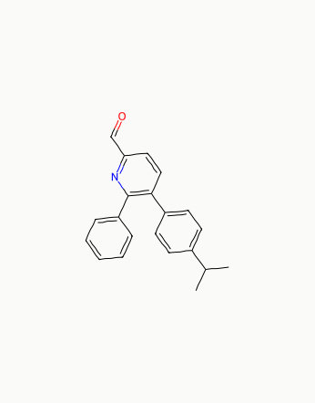 CC(C)c1ccc(-c2ccc(C=O)nc2-c2ccccc2)cc1